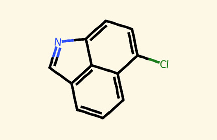 Clc1ccc2c3c(cccc13)C=N2